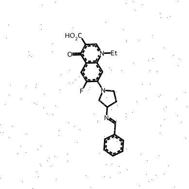 CCn1cc(C(=O)O)c(=O)c2cc(F)c(N3CCC(/N=C/c4ccccc4)C3)cc21